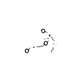 CCCCCCN(C)CCCN(C(=O)OCc1ccccc1)[C@@H](Cc1ccc(CCCCNC(=O)OCc2ccccc2)cc1)NC=O